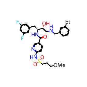 CCc1cccc(CNC[C@@H](O)[C@H](Cc2cc(F)cc(F)c2)NC(=O)c2ccc(NS(=O)(=O)CCCOC)nc2)c1